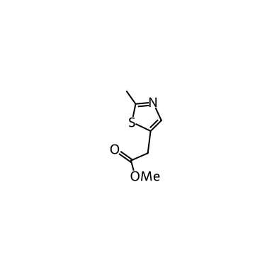 COC(=O)Cc1cnc(C)s1